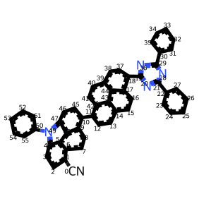 N#Cc1ccc2c3c1ccc1c(-c4ccc5ccc6c(-c7nc(-c8ccccc8)nc(-c8ccccc8)n7)ccc7ccc4c5c76)ccc(c13)n2-c1ccccc1